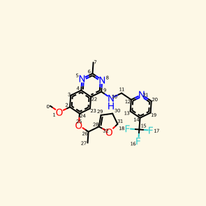 COc1cc2nc(C)nc(NCc3cc(C(F)(F)F)ccn3)c2cc1OC(C)C1=CCCO1